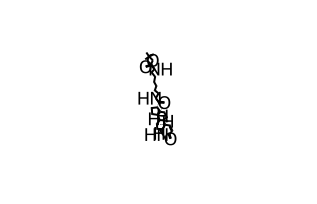 CC(C)(C)OC(=O)NCCCCCCNC(=O)[C@H]1CC[C@H]2[C@@H]3CC[C@H]4NC(=O)C=C[C@]4(C)[C@H]3CC[C@]12C